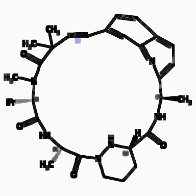 CC(C)[C@H]1C(=O)N[C@@H](C)C(=O)N2CCC[C@H](N2)C(=O)N[C@H](C)c2ccc3ccc(cc3n2)/C=C/C(C)(C)C(=O)N1C